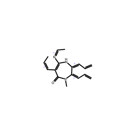 C=C/C=C1/NC(/N=C\C)=C(/C=C\C)C(=O)N(C)/C1=C/C=C